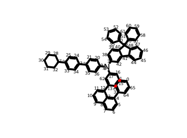 c1ccc(-c2cccc3cccc(-c4cccc(N(c5ccc(-c6ccc(C7CCCCC7)cc6)cc5)c5ccc6c(c5)-c5ccccc5C6(c5ccccc5)c5ccccc5)c4)c23)cc1